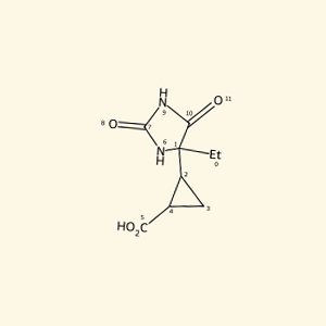 CCC1(C2CC2C(=O)O)NC(=O)NC1=O